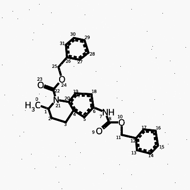 CC1CCc2cc(NC(=O)OCc3ccccc3)ccc2N1C(=O)OCc1ccccc1